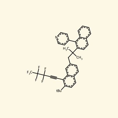 CC(C)(C)c1ccc2ccc(CC(C)(C)c3ccc4ccccc4c3-c3ccncc3)cc2c1C#CC(F)(F)C(F)(F)C(F)(F)F